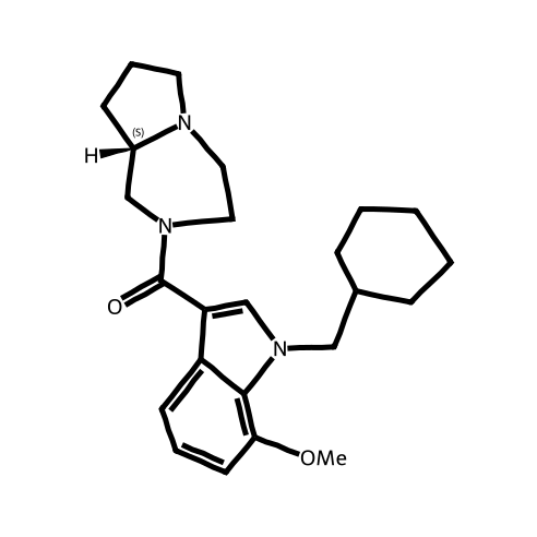 COc1cccc2c(C(=O)N3CCN4CCC[C@H]4C3)cn(CC3CCCCC3)c12